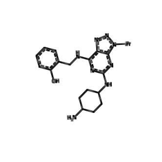 CC(C)n1nnc2c(NCc3ccccc3O)nc(NC3CCC(N)CC3)nc21